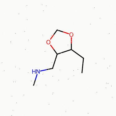 CCC1OCOC1CNC